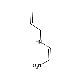 C=CCN/C=C\[N+](=O)[O-]